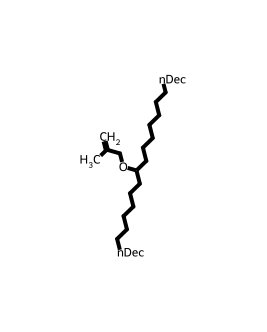 C=C(C)COC(CCCCCCCCCCCCCCCC)CCCCCCCCCCCCCCCCC